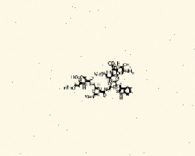 CCCOCCC(=O)N[C@@H](CC(=O)O)C(=O)NCC(=O)N[C@@H](CCSC)C(=O)NCC(=O)N[C@@H](Cc1c[nH]c2ccccc12)C(=O)N[C@@H](CCSC)C(=O)N[C@@H](CC(=O)O)C(=O)N[C@@H](C)C(N)=O